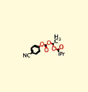 CC(C)C(=O)O[C@@H](C)OC(=O)Oc1ccc(C#N)cc1